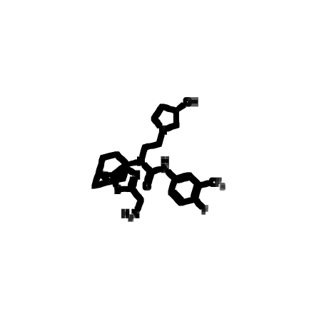 NCc1ncc([C@]23CC[C@@H](N(CCN4CC[C@@H](O)C4)C(=O)Nc4ccc(F)c(C(F)(F)F)c4)CC2C3)s1